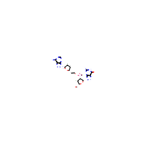 Nc1nc2c(nnn2[C@@H]2O[C@H](CO)[C@@H](F)[C@H]2P(O)(=S)OCC[C@H]2O[C@@H](n3nnc4c(N)ncnc43)[C@@H](F)[C@@H]2O)c(=O)[nH]1